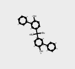 CCCCC(CCCC)(c1ccc(O)c(-c2ccccc2)c1)c1ccc(O)c(-c2ccccc2)c1